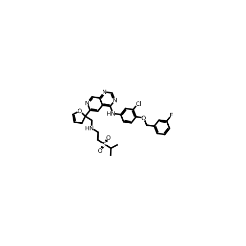 CC(C)S(=O)(=O)CCNCC1(c2cc3c(Nc4ccc(OCc5cccc(F)c5)c(Cl)c4)ncnc3cn2)CC=CO1